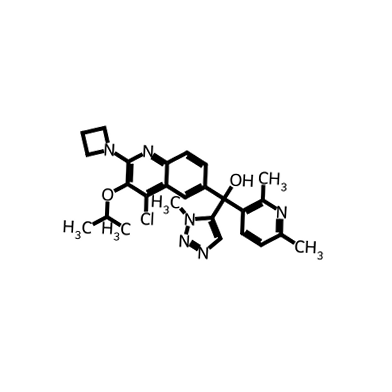 Cc1ccc(C(O)(c2ccc3nc(N4CCC4)c(OC(C)C)c(Cl)c3c2)c2cnnn2C)c(C)n1